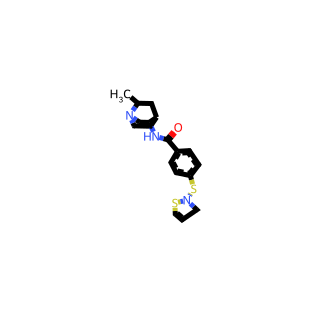 CC1CC2CCN1CC2NC(=O)c1ccc(SN2CC=CS2)cc1